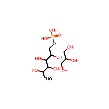 O=CC(O)C(O)C(O)C(O)COP(=O)(O)O.OCC(O)CO